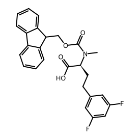 CN(C(=O)OCC1c2ccccc2-c2ccccc21)[C@@H](CCc1cc(F)cc(F)c1)C(=O)O